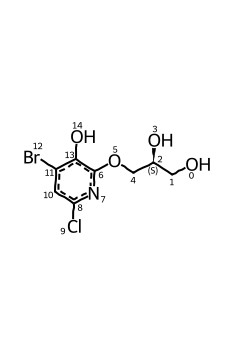 OC[C@H](O)COc1nc(Cl)cc(Br)c1O